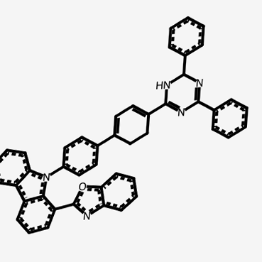 C1=C(C2=NC(c3ccccc3)=NC(c3ccccc3)N2)CCC(c2ccc(-n3c4ccccc4c4cccc(-c5nc6ccccc6o5)c43)cc2)=C1